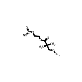 CC(C)(COP)C(=O)SCCO[PH](=O)O